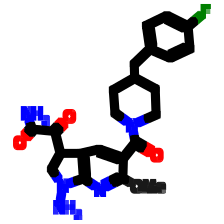 COc1nc2c(cc1C(=O)N1CCC(Cc3ccc(F)cc3)CC1)C(C(=O)C(N)=O)CN2N